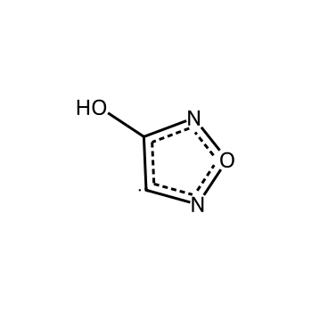 Oc1[c]non1